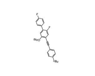 CCCCc1ccc(C#Cc2cc(F)c(-c3ccc(F)cc3)cc2OC)cc1